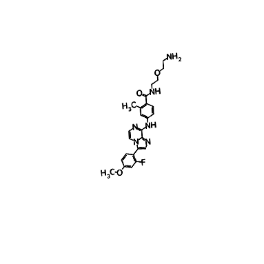 COc1ccc(-c2cnc3c(Nc4ccc(C(=O)NCCOCCN)c(C)c4)nccn23)c(F)c1